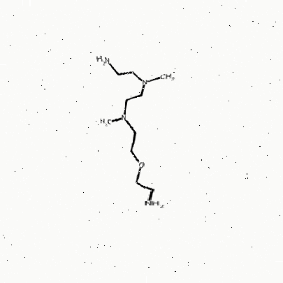 CN(CCN)CCN(C)CCOCCN